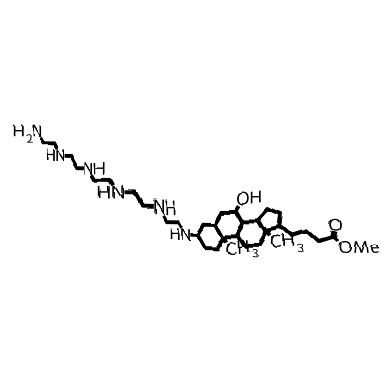 COC(=O)CCCC1CCC2C3C(O)CC4CC(NCCNCCNCCNCCNCCN)CCC4(C)C3CCC12C